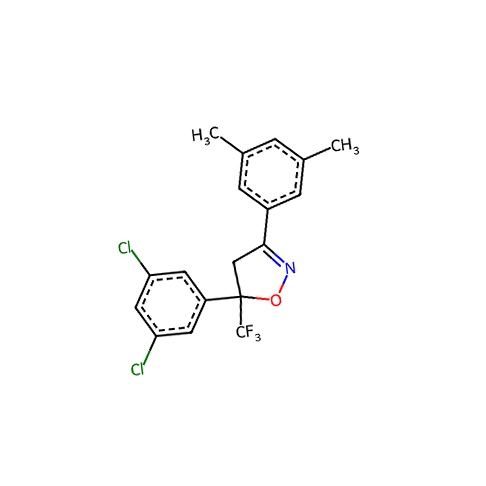 Cc1cc(C)cc(C2=NOC(c3cc(Cl)cc(Cl)c3)(C(F)(F)F)C2)c1